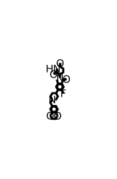 O=C1CCC(N2Cc3cc(C4CCN(Cc5ccc6c(c5)OCCO6)CC4)c(F)cc3C2=O)C(=O)N1